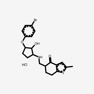 Cc1cc2c(s1)CCC(CNC1CCC(Oc3ccc(Br)cc3)C1O)C2=O.Cl